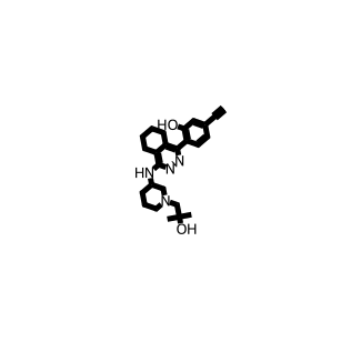 C#Cc1ccc(-c2nnc(NC3CCCN(CC(C)(C)O)C3)c3c2CCCC3)c(O)c1